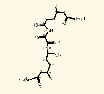 CCCCCCCC(=O)CC(C)CCC(N)NC(=S)C(=S)NC(N)CCC(C)CC(=O)CCCCCCC